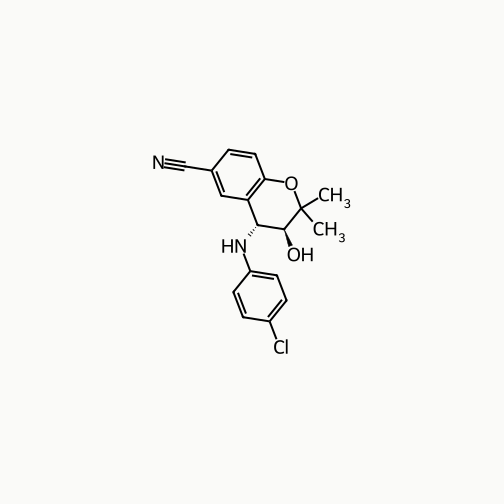 CC1(C)Oc2ccc(C#N)cc2[C@@H](Nc2ccc(Cl)cc2)[C@@H]1O